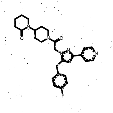 O=C(Cn1nc(-c2ccncc2)cc1Cc1ccc(F)cc1)N1CCC(N2CCCCC2=O)CC1